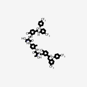 C/C(O)=C(/N=Nc1cc(C(=O)Nc2cc(C(F)(F)F)ccc2Oc2ccc(C(F)(F)F)cc2)ccc1Cl)C(=O)Nc1ccc(NC(=O)/C(N=Nc2cc(C(=O)Cc3cc(C(F)(F)F)ccc3Oc3ccc(C(F)(F)F)cc3)ccc2Cl)=C(\C)O)c(C)c1